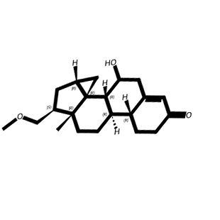 COC[C@H]1C[C@@H]2C[C@]23[C@@H]2C(O)CC4=CC(=O)CC[C@@H]4[C@H]2CC[C@]13C